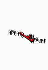 CCCCCC(CCCCC)CCOC(=O)CCCCCCCCC(CCCCCCCC(=O)OCCC(CCCCC)CCCCC)OCCCCN(CC)CC